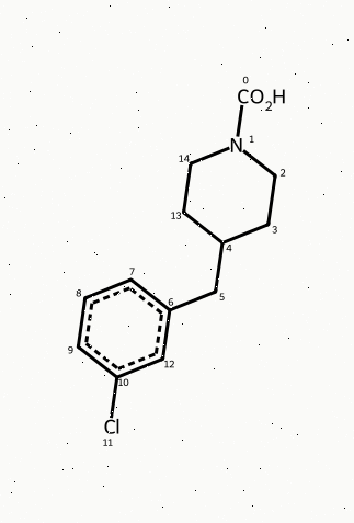 O=C(O)N1CCC(Cc2cccc(Cl)c2)CC1